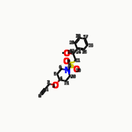 C#CCOC1CCN(S(=O)(=O)CC([O])c2ccccc2)CC1